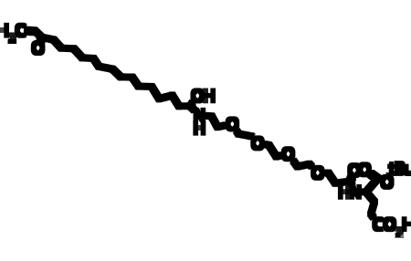 C=CC(=O)CCCCCCCCCCCCCCC(O)NCCOCCOCCOCCOCCC(=O)NC(CCC(=O)O)C(=O)OC(C)(C)C